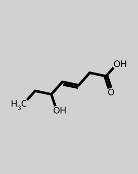 CCC(O)C=CCC(=O)O